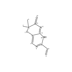 CC1(C)OC2=CN=C(C=O)NC2=NC1=O